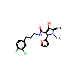 C=C1C(O)=C(C(=O)NCCCc2ccc(Cl)c(Cl)c2)C(c2ccco2)N1C